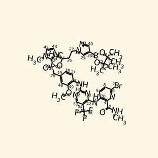 CNC(=O)c1nc(Br)ccc1Nc1nc(Nc2ccc(CP(=O)(O[C@H](C)CCn3cc(B4OC(C)(C)C(C)(C)O4)cn3)c3nccn3C)cc2OC)ncc1C(F)(F)F